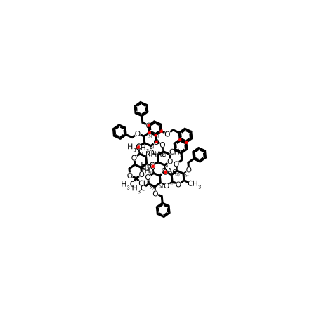 CC(=O)NC1[C@H](C)OC2COC(C)(C)O[C@H]2[C@@H]1O[C@@H]1OC(C)[C@H](OCc2ccccc2)[C@H](O[C@@H]2OC(C)[C@H](OCc3ccccc3)[C@H](OCc3ccccc3)C2O[C@@H]2OC(C)[C@H](OCc3ccccc3)[C@H](O[C@H]3O[C@@H](COCc4ccccc4)[C@@H](OCc4ccccc4)C(OCc4ccccc4)C3C)C2C)C1OC(C)=O